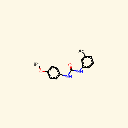 CC(=O)c1cccc(NC(=O)Nc2ccc(OC(C)C)cc2)c1